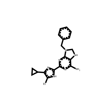 CCc1[nH]c(-c2nc(N)c3c(n2)N(Cc2ccccc2)CN3)nc1C1CC1